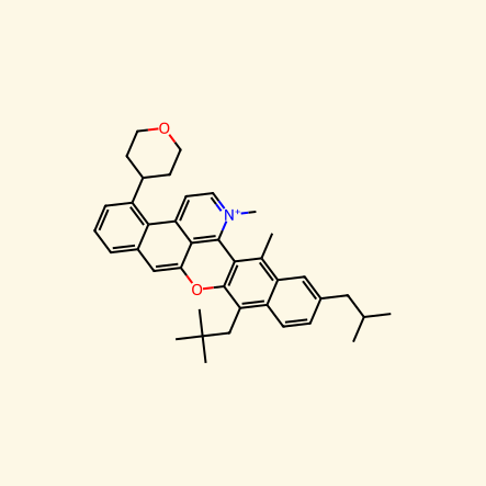 Cc1c2c(c(CC(C)(C)C)c3ccc(CC(C)C)cc13)Oc1cc3cccc(C4CCOCC4)c3c3cc[n+](C)c-2c13